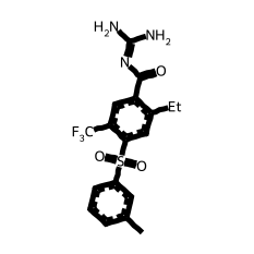 CCc1cc(S(=O)(=O)c2cccc(C)c2)c(C(F)(F)F)cc1C(=O)N=C(N)N